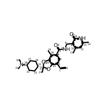 C=Cc1cc(C(=O)NCc2c(C)cc(C)[nH]c2=O)c(C)c2c1OC(C)([C@H]1CC[C@H](N(C)C)CC1)O2